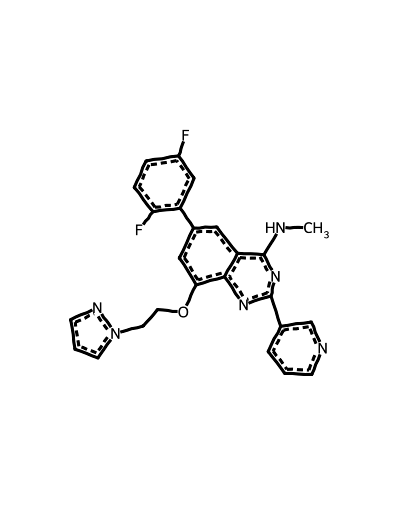 CNc1nc(-c2cccnc2)nc2c(OCCn3cccn3)cc(-c3cc(F)ccc3F)cc12